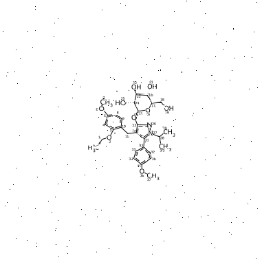 CCOc1cc(OC)ccc1Cc1c(O[C@@H]2O[C@H](CO)[C@@H](O)[C@H](O)[C@H]2O)nn(C(C)C)c1-c1ccc(OC)cc1